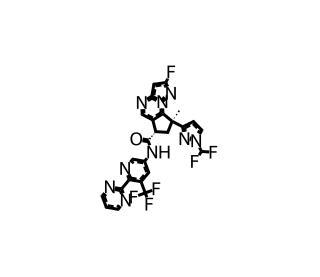 C[C@]1(c2ccn(C(F)F)n2)C[C@H](C(=O)Nc2cnc(-c3ncccn3)c(C(F)(F)F)c2)c2cnc3cc(F)nn3c21